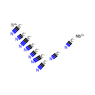 [C-]#N.[C-]#N.[C-]#N.[C-]#N.[C-]#N.[C-]#N.[C-]#N.[C-]#N.[C-]#N.[Nb+5].[Ti+4]